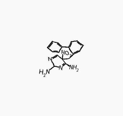 NC1=NC(N)N=CC1(Cc1ccccc1-c1ccccc1)[N+](=O)[O-]